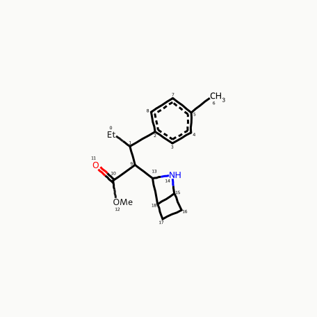 CCC(c1ccc(C)cc1)C(C(=O)OC)C1NC2CCC21